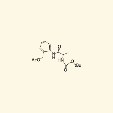 CC(=O)OCc1ccccc1NC(=O)C(C)NC(=O)OC(C)(C)C